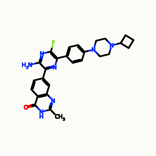 Cc1nc2cc(-c3nc(-c4ccc(N5CCN(C6CCC6)CC5)cc4)c(F)nc3N)ccc2c(=O)[nH]1